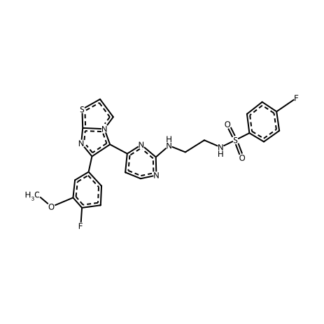 COc1cc(-c2nc3sccn3c2-c2ccnc(NCCNS(=O)(=O)c3ccc(F)cc3)n2)ccc1F